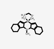 CC[O-].[CH3][Zr+]1[CH]2C(=CC3=C2CCCC3)[Si](C)(C)C2=CC3=C(CCCC3)[CH]21